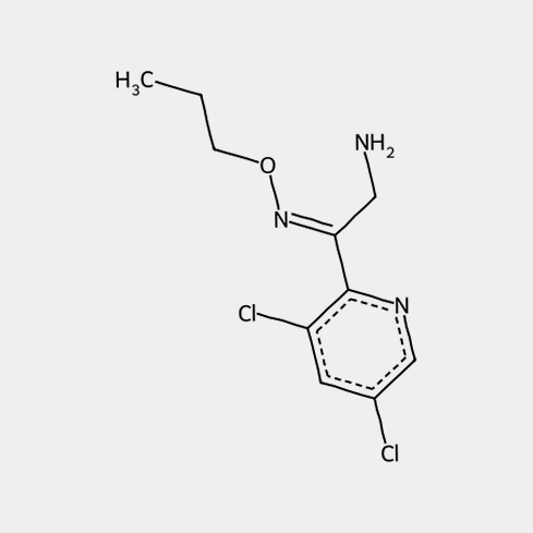 CCCON=C(CN)c1ncc(Cl)cc1Cl